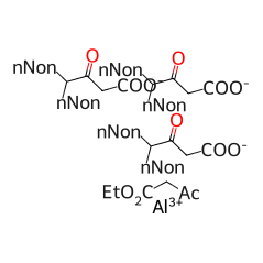 CCCCCCCCCC(CCCCCCCCC)C(=O)CC(=O)[O-].CCCCCCCCCC(CCCCCCCCC)C(=O)CC(=O)[O-].CCCCCCCCCC(CCCCCCCCC)C(=O)CC(=O)[O-].CCOC(=O)CC(C)=O.[Al+3]